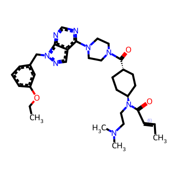 C/C=C/C(=O)N(CCN(C)C)[C@H]1CC[C@H](C(=O)N2CCN(c3ncnc4c3cnn4Cc3cccc(OCC)c3)CC2)CC1